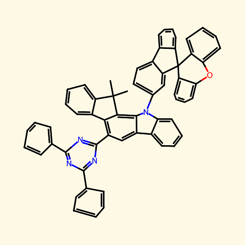 CC1(C)c2ccccc2-c2c(-c3nc(-c4ccccc4)nc(-c4ccccc4)n3)cc3c4ccccc4n(-c4ccc5c(c4)C4(c6ccccc6Oc6ccccc64)c4ccccc4-5)c3c21